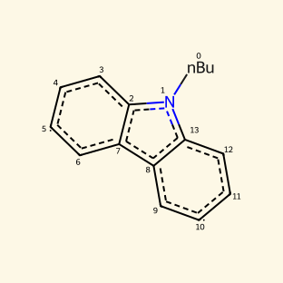 CCCCn1c2cc[c]cc2c2c[c]ccc21